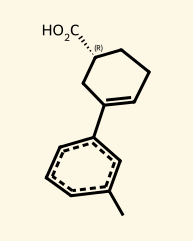 Cc1cccc(C2=CCC[C@@H](C(=O)O)C2)c1